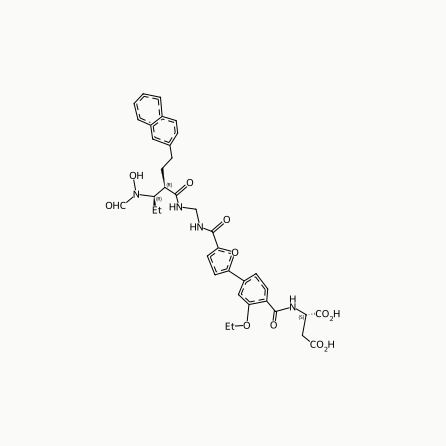 CCOc1cc(-c2ccc(C(=O)NCNC(=O)[C@H](CCc3ccc4ccccc4c3)[C@@H](CC)N(O)C=O)o2)ccc1C(=O)N[C@@H](CC(=O)O)C(=O)O